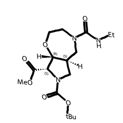 CCNC(=O)N1CCO[C@@H]2[C@@H](C1)CN(C(=O)OC(C)(C)C)[C@@H]2C(=O)OC